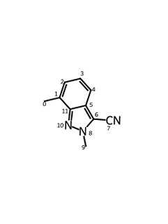 Cc1cccc2c(C#N)n(C)nc12